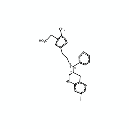 Cc1ccc(CCN[C@H](c2ccccc2)[C@@H]2CNc3cc(F)cnc3C2)cc1CC(=O)O